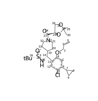 C=CCOc1cc(C2CC2)c(Cl)cc1[C@H](N[S@@+]([O-])C(C)(C)C)C1CCN(C(=O)[C@H]2COC(C)(C)O2)CC1